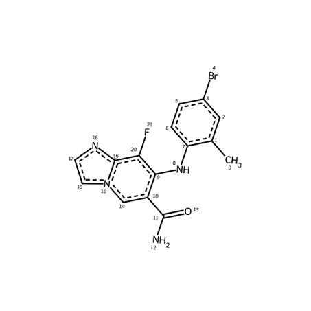 Cc1cc(Br)ccc1Nc1c(C(N)=O)cn2ccnc2c1F